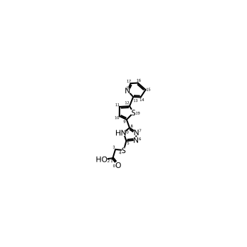 O=C(O)CSc1nnc(-c2ccc(-c3ccccn3)s2)[nH]1